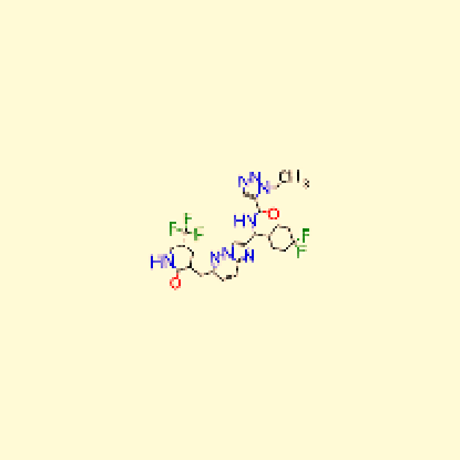 CCn1nncc1C(=O)NC(c1cn2nc(CC3C[C@@H](C(F)(F)F)CNC3=O)ccc2n1)C1CCC(F)(F)CC1